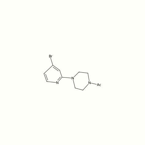 CC(=O)N1CCN(c2cc(Br)ccn2)CC1